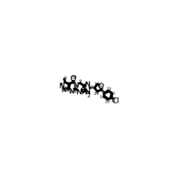 CC1N=Nc2nc(N)n(Cc3nc([C@@H]4CO[C@@H](c5ccc(Cl)cc5)C4)no3)c(=O)c21